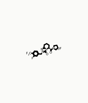 O=C([C@@H]1CCCc2nn(Cc3ccc(C(F)(F)F)c(F)c3)c(=O)n21)N1CC[C@H](F)C1